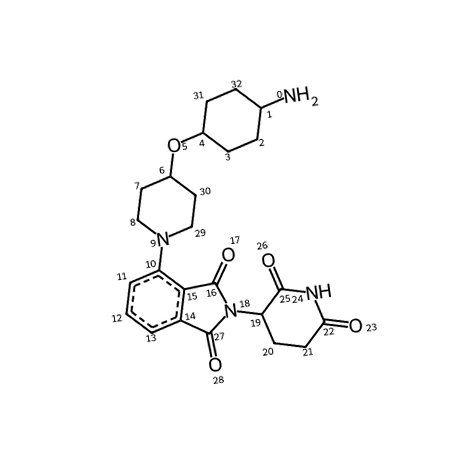 NC1CCC(OC2CCN(c3cccc4c3C(=O)N(C3CCC(=O)NC3=O)C4=O)CC2)CC1